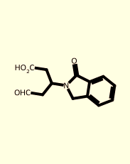 O=CCC(CC(=O)O)N1Cc2ccccc2C1=O